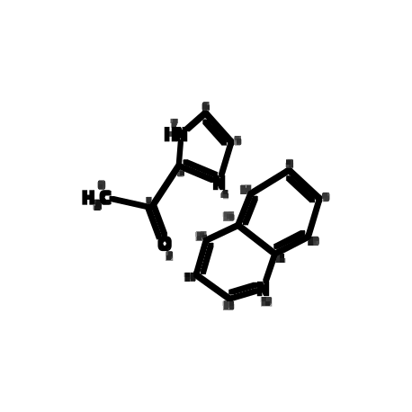 CC(=O)c1ncc[nH]1.c1ccc2ncccc2c1